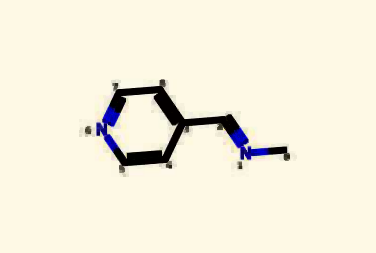 CN=Cc1ccncc1